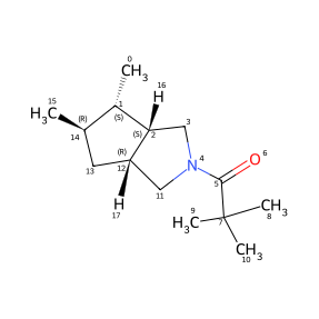 C[C@@H]1[C@@H]2CN(C(=O)C(C)(C)C)C[C@@H]2C[C@H]1C